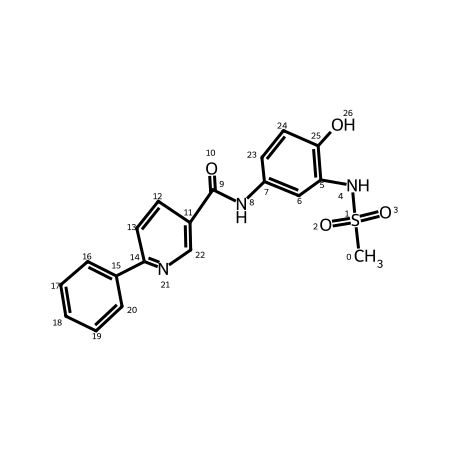 CS(=O)(=O)Nc1cc(NC(=O)c2ccc(-c3ccccc3)nc2)ccc1O